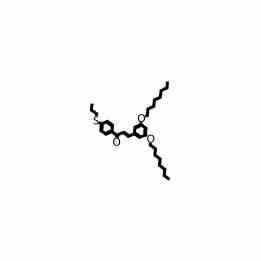 CCCCCCCCOc1cc(C=CC(=O)c2ccc(SCCC)cc2)cc(OCCCCCCCC)c1